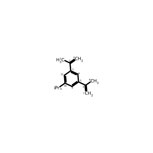 C=C(C)c1cc(C(=C)C)cc(C(C)C)c1